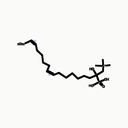 CCCCCCCCCC/C=C\CCCC/C=C\CCCCCCC(O)(C[N+](C)(C)C)P(=O)(O)O